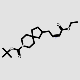 CCOC(=O)/C=C\CC1CCC2(CCN(C(=O)OC(C)(C)C)CC2)C1